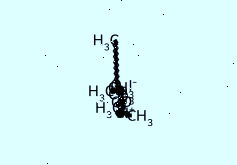 CCCCCCCCCCCCCCCCOc1ccc(OCC(=O)N(Cc2cccc[n+]2CCC)C(C)=O)cc1C(C)(C)C.[I-]